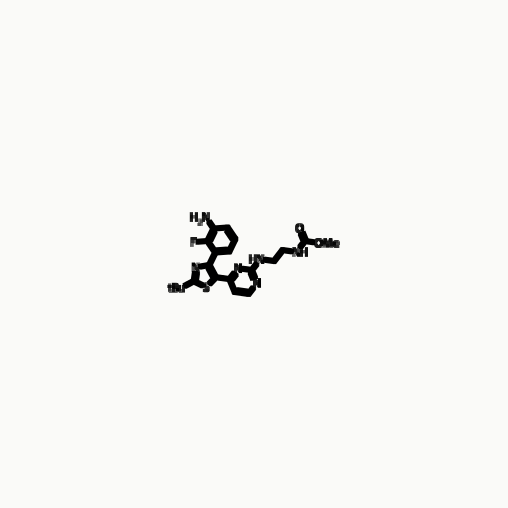 COC(=O)NCCNc1nccc(-c2sc(C(C)(C)C)nc2-c2cccc(N)c2F)n1